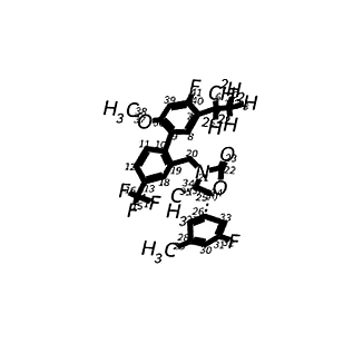 [2H]C([2H])([2H])C([2H])(C)c1cc(-c2ccc(C(F)(F)F)cc2CN2C(=O)O[C@H](c3cc(C)cc(F)c3)[C@@H]2C)c(OC)cc1F